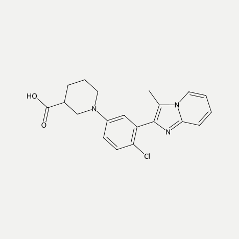 Cc1c(-c2cc(N3CCCC(C(=O)O)C3)ccc2Cl)nc2ccccn12